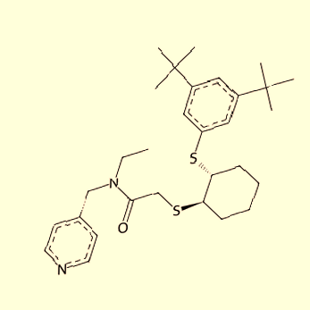 CCN(Cc1ccncc1)C(=O)CS[C@@H]1CCCC[C@H]1Sc1cc(C(C)(C)C)cc(C(C)(C)C)c1